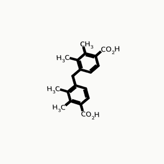 Cc1c(Cc2ccc(C(=O)O)c(C)c2C)ccc(C(=O)O)c1C